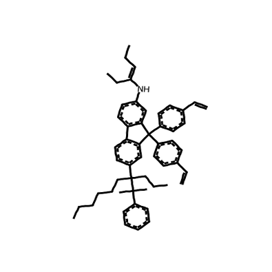 C=Cc1ccc(C2(c3ccc(C=C)cc3)c3cc(N/C(=C/CC)CC)ccc3-c3ccc(C(CCC)(CCCCCC)C(C)(C)c4ccccc4)cc32)cc1